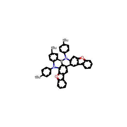 CC(C)(C)c1ccc(N2B3c4cc(C(C)(C)C)ccc4N(c4ccc(C(C)(C)C)cc4)c4c3c(cc3c4oc4ccccc43)-c3cc4c(cc32)oc2ccccc24)cc1